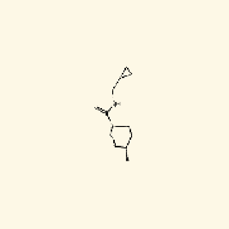 C[C@H]1CC[C@@H](C(=O)NCC2CC2)CC1